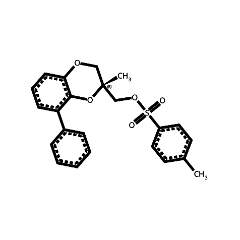 Cc1ccc(S(=O)(=O)OC[C@@]2(C)COc3cccc(-c4ccccc4)c3O2)cc1